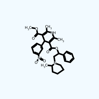 COC(=O)C1=C(C)NC(C)=C(C(=O)OC(CN2CCCCC2C)c2ccccc2)C1c1cccc([N+](=O)[O-])c1